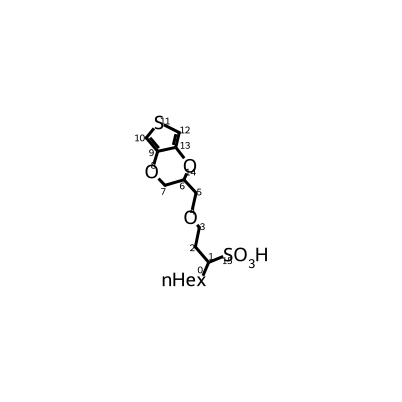 CCCCCCC(CCOCC1COc2cscc2O1)S(=O)(=O)O